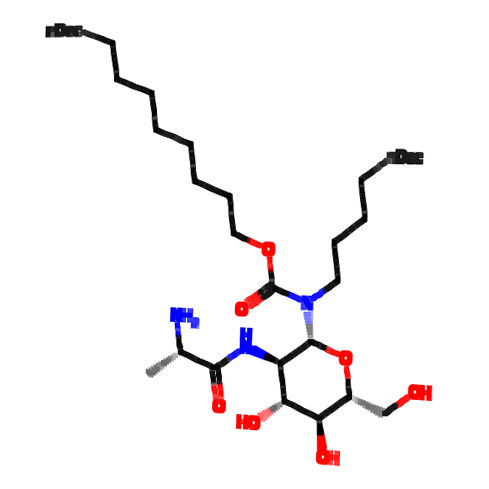 CCCCCCCCCCCCCCCCCCOC(=O)N(CCCCCCCCCCCCCC)[C@@H]1O[C@H](CO)[C@@H](O)[C@H](O)[C@H]1NC(=O)[C@H](C)N